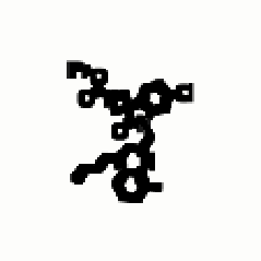 C=CCCC(=C)C/C(CN1C(=O)C2(CN(C(=O)OC(C)C)C2)c2ccc(Cl)cc21)=N\C1=C(C)CCCC1